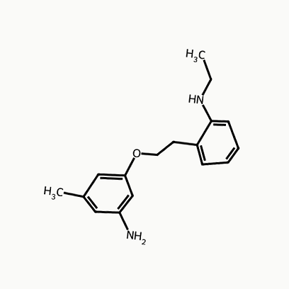 CCNc1ccccc1CCOc1cc(C)cc(N)c1